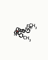 Cc1ccc(-n2nccn2)c(C(=O)N2C3CCC2C(COc2cccc(C(C)(F)F)n2)C3)c1